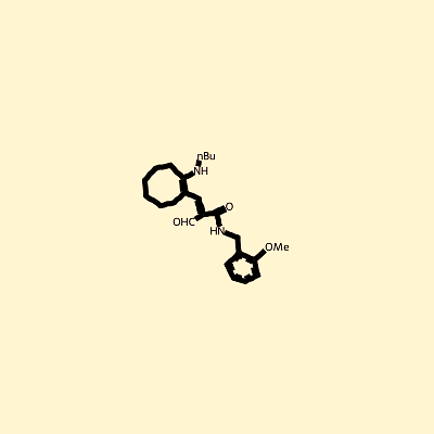 CCCCN/C1=C(\C=C(/C=O)C(=O)NCc2ccccc2OC)CCCCCC1